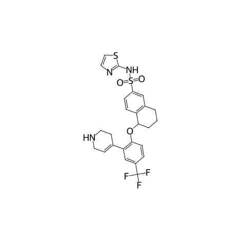 O=S(=O)(Nc1nccs1)c1ccc2c(c1)CCCC2Oc1ccc(C(F)(F)F)cc1C1=CCNCC1